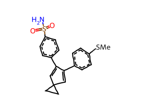 CSc1ccc(C2=CC3(C=C2c2ccc(S(N)(=O)=O)cc2)CC3)cc1